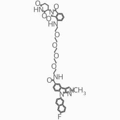 Cn1cc2c3cc(C(=O)NCCOCCOCCOCCOCCNc4cccc5c4C(=O)N(C4CCC(=O)NC4=O)C5=O)ccc3n(-c3ccc4cc(F)ccc4c3)c2n1